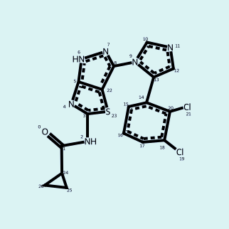 O=C(Nc1nc2[nH]nc(-n3cncc3-c3cccc(Cl)c3Cl)c2s1)C1CC1